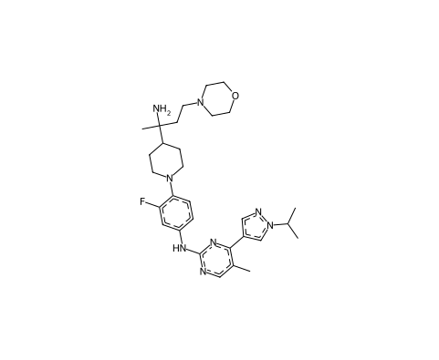 Cc1cnc(Nc2ccc(N3CCC(C(C)(N)CCN4CCOCC4)CC3)c(F)c2)nc1-c1cnn(C(C)C)c1